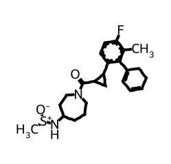 Cc1c(F)ccc(C2CC2C(=O)N2CCCC(N[S+](C)[O-])CC2)c1C1=CC=CCC1